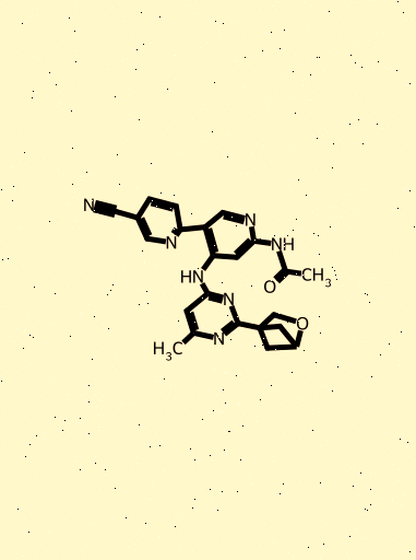 CC(=O)Nc1cc(Nc2cc(C)nc(C34COC(C3)C4)n2)c(-c2ccc(C#N)cn2)cn1